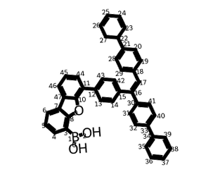 OB(O)c1cccc2c1oc1c(-c3ccc(/C(=C\c4ccc(C5C=CC=CC5)cc4)c4ccc(-c5ccccc5)cc4)cc3)cccc12